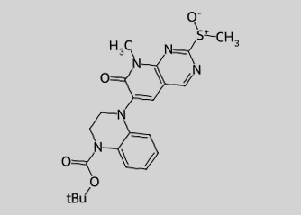 Cn1c(=O)c(N2CCN(C(=O)OC(C)(C)C)c3ccccc32)cc2cnc([S+](C)[O-])nc21